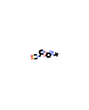 CC(C)(C)Cn1nnc2c(Br)c(Oc3ncccc3CN3CCS(=O)(=O)CC3)ccc21